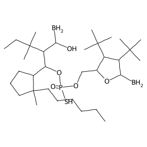 BC(O)C(C(OP(=O)(S)OCC1OC(B)C(C(C)(C)C)C1C(C)(C)C)C1CCCC1(C)CCCCCC)C(C)(C)CC